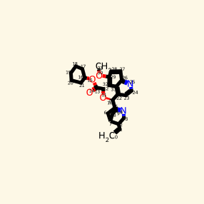 C=CC1CN2CCC1CC2[C@@H](OCC(=O)OC1CCCCC1)c1ccnc2ccc(OC)cc12